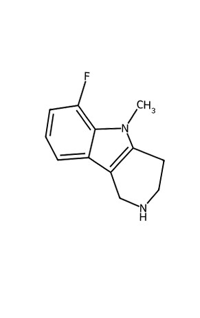 Cn1c2c(c3cccc(F)c31)CNCC2